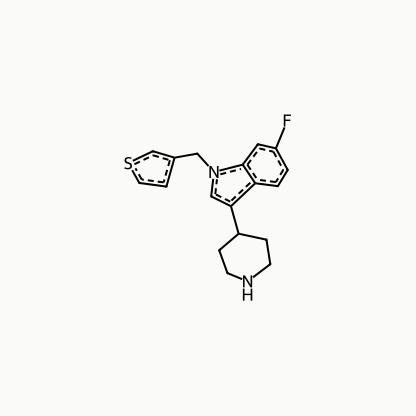 Fc1ccc2c(C3CCNCC3)cn(Cc3ccsc3)c2c1